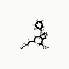 COCCCCc1c(C(=O)O)cnn1-c1ccccc1